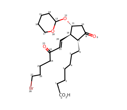 O=C(O)CCCCCC[C@H]1C(=O)C[C@@H](OC2CCCCO2)[C@@H]1C=CC(=O)CCCCBr